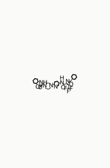 O=C(Nc1ccc(N2CCCN(C(=O)Nc3ccccc3Cl)CC2)nc1)c1nc(-c2ccccc2)oc1C(F)(F)F